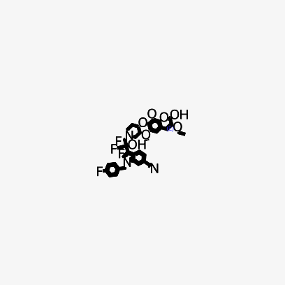 CCO/C(=C/c1cc(OC)c(OC2CCN(CC(O)(c3cn(Cc4ccc(F)cc4)c4cc(C#N)ccc34)C(F)(F)F)CC2)c(OC)c1)C(=O)O